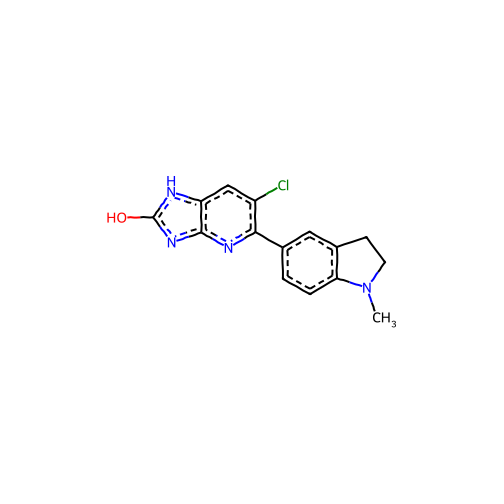 CN1CCc2cc(-c3nc4nc(O)[nH]c4cc3Cl)ccc21